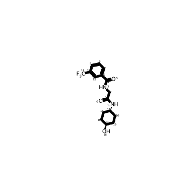 O=C(CNC(=O)c1cccc(C(F)(F)F)c1)N[C@H]1CC[C@H](O)CC1